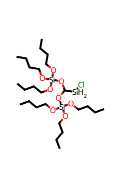 CCCCO[Si](OCCCC)(OCCCC)OC(O[Si](OCCCC)(OCCCC)OCCCC)[SiH2]Cl